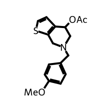 COc1ccc(CN2Cc3sccc3C(OC(C)=O)C2)cc1